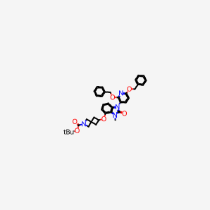 Cn1c(=O)n(-c2ccc(OCc3ccccc3)nc2OCc2ccccc2)c2cccc(OC3CC4(C3)CN(C(=O)OC(C)(C)C)C4)c21